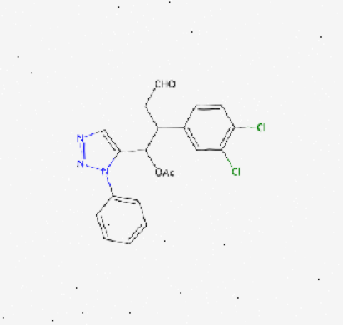 CC(=O)OC(c1cnnn1-c1ccccc1)C(CC=O)c1ccc(Cl)c(Cl)c1